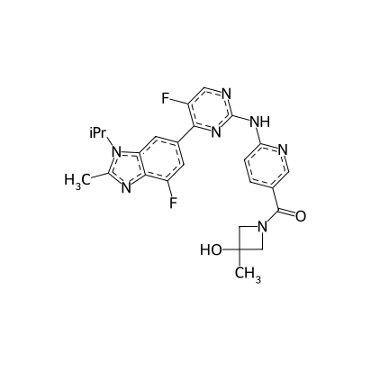 Cc1nc2c(F)cc(-c3nc(Nc4ccc(C(=O)N5CC(C)(O)C5)cn4)ncc3F)cc2n1C(C)C